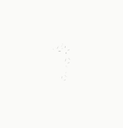 CCc1nc2cc(Br)ccn2c1C(=O)NCc1ccc(N2CCN(c3ccc(OC)cc3)CC2)cc1